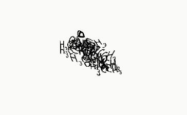 CO[C@H]([C@@H](C)C(=O)N[C@@H](Cc1ccccc1)C(=O)OC(C)(C)C)[C@@H]1CCCN1C(=O)C[C@@H](OC)[C@H](C1CCCCC1)N(C)C(=O)[C@@H](NC(=O)C(C)(C)N(C)C)C(C)C